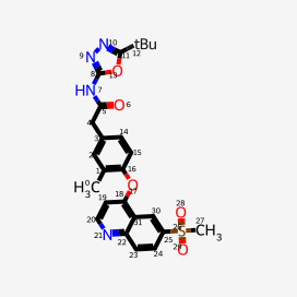 Cc1cc(CC(=O)Nc2nnc(C(C)(C)C)o2)ccc1Oc1ccnc2ccc(S(C)(=O)=O)cc12